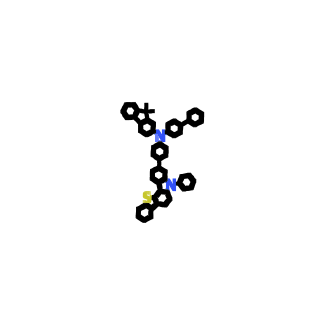 CC1(C)c2ccccc2-c2ccc(N(c3ccc(-c4ccccc4)cc3)c3ccc(-c4ccc5c6c7sc8ccccc8c7ccc6n(-c6ccccc6)c5c4)cc3)cc21